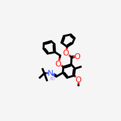 COc1cc(/C=N/C(C)(C)C)c(OCc2ccccc2)c(C(=O)Oc2ccccc2)c1C